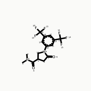 CN(C)C(=O)C1CC(=O)N(c2cc(C(F)(F)F)cc(C(F)(F)F)c2)C1